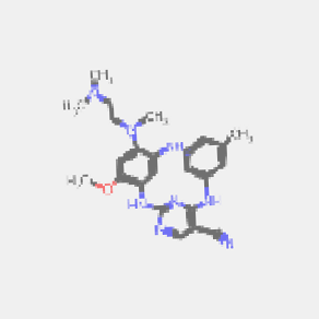 COc1cc(N(C)CCN(C)C)c(N)cc1Nc1ncc(C#N)c(Nc2cccc(C)c2)n1